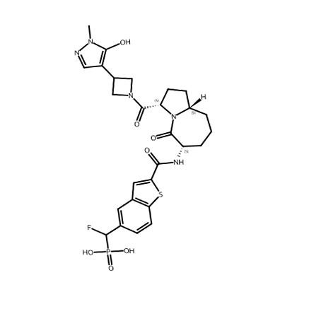 Cn1ncc(C2CN(C(=O)[C@@H]3CC[C@@H]4CCC[C@H](NC(=O)c5cc6cc(C(F)P(=O)(O)O)ccc6s5)C(=O)N43)C2)c1O